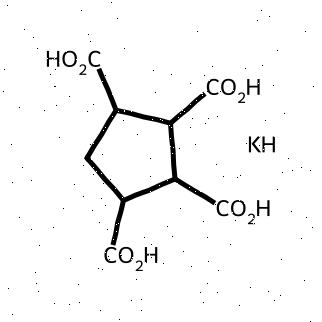 O=C(O)C1CC(C(=O)O)C(C(=O)O)C1C(=O)O.[KH]